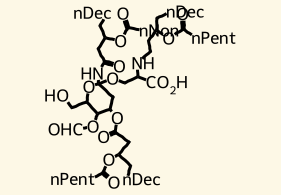 CCCCCCCCCCCC(CCNC(COC1(NC(=O)CC(CCCCCCCCCCC)OC(=O)CCCCCCCCC)CC(OC(=O)CC(CCCCCCCCCCC)OC(=O)CCCCC)C(OC=O)C(CO)O1)C(=O)O)OC(=O)CCCCC